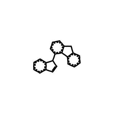 [c]1cc2c(c(C3C=Cc4ccccc43)c1)-c1ccccc1C2